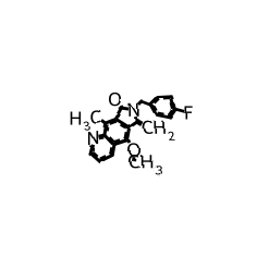 C=C1c2c(c(C)c3ncccc3c2OC)C(=O)N1Cc1ccc(F)cc1